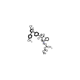 Cc1ccc(-c2cc(C(F)(F)F)nn2-c2ccc(S(=O)(=O)NC(=O)[C@@H]3CCCN3/[N+]([O-])=N\OC(C)OC(=O)OC(C)C)cc2)cc1